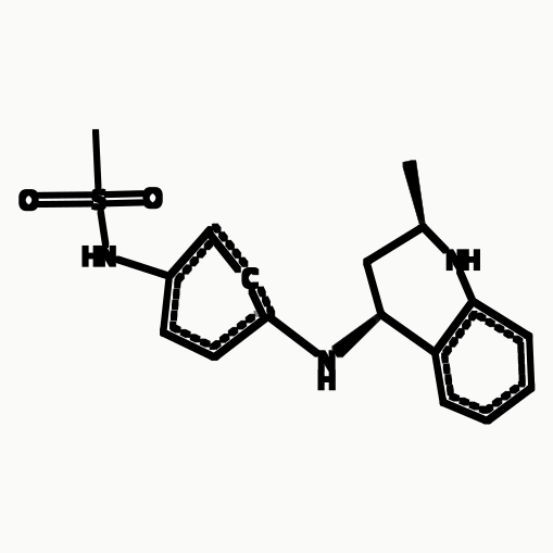 C[C@@H]1C[C@H](Nc2ccc(NS(C)(=O)=O)cc2)c2ccccc2N1